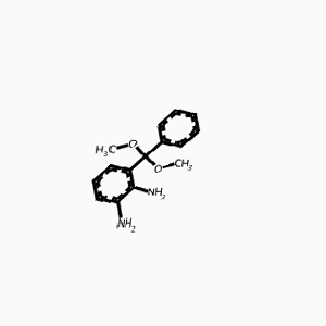 COC(OC)(c1ccccc1)c1cccc(N)c1N